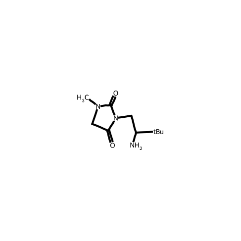 CN1CC(=O)N(CC(N)C(C)(C)C)C1=O